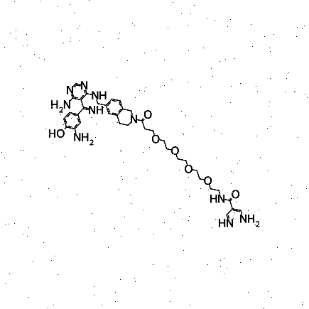 N=C/C(=C\N)C(=O)NCCOCCOCCOCCOCCC(=O)N1CCc2cc(CNc3ncnc(N)c3C(=N)c3ccc(O)c(N)c3)ccc2C1